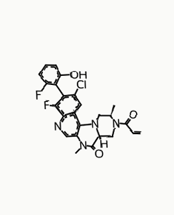 C=CC(=O)N1C[C@@H]2C(=O)N(C)c3cnc4c(F)c(-c5c(O)cccc5F)c(Cl)cc4c3N2C[C@H]1C